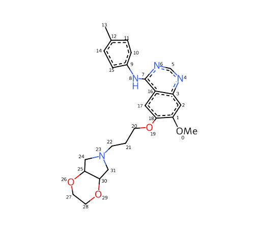 COc1cc2ncnc(Nc3ccc(C)cc3)c2cc1OCCCN1CC2OCCOC2C1